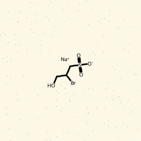 O=S(=O)([O-])CC(Br)CO.[Na+]